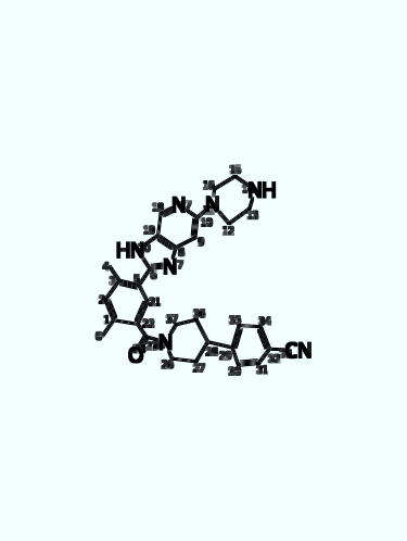 Cc1cc(C)c(-c2nc3cc(N4CCNCC4)ncc3[nH]2)cc1C(=O)N1CCC(c2ccc(C#N)cc2)CC1